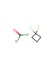 FC1(F)CCC1.O=C(Cl)Cl